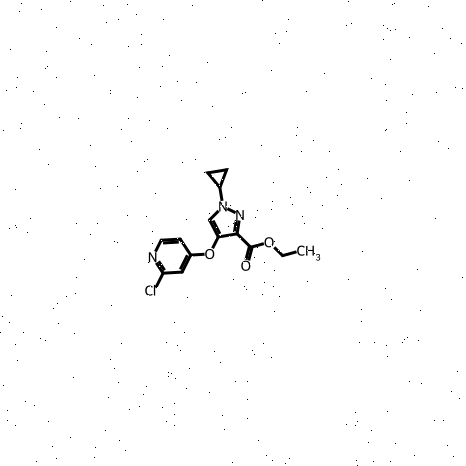 CCOC(=O)c1nn(C2CC2)cc1Oc1ccnc(Cl)c1